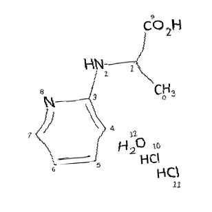 CC(Nc1ccccn1)C(=O)O.Cl.Cl.O